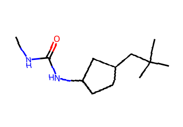 CNC(=O)NC1CCC(CC(C)(C)C)C1